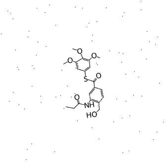 CCC(=O)Nc1cc(C(=O)Sc2cc(OC)c(OC)c(OC)c2)ccc1CO